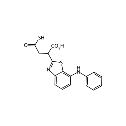 O=C(S)CC(C(=O)O)c1nc2cccc(Nc3ccccc3)c2s1